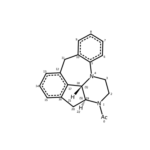 CC(=O)N1CCN2c3ccccc3Cc3cccc4c3[C@H]2[C@@H]1C4